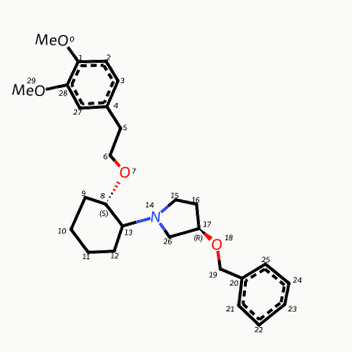 [13CH3]Oc1ccc(CCO[C@H]2CCCCC2N2CC[C@@H](OCc3ccccc3)C2)cc1O[13CH3]